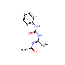 CNC(=O)N=C(NC(=O)Nc1ccccc1)OC